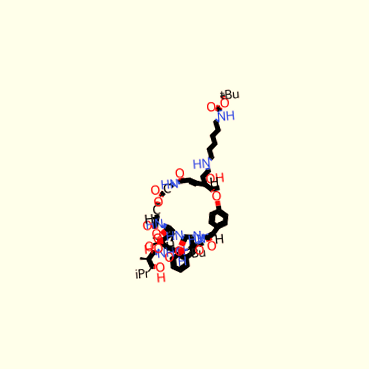 CC[C@H](C)[C@H]1NC(=O)[C@@H](NC(=O)[C@H](C)[C@H](O)C(C)C)[C@@H](C)OC(=O)[C@@H]2COC(=O)CNC(=O)/C=C/[C@](O)(CCNCCCCCCNC(=O)OC(C)(C)C)[C@@H](C)Oc3ccc(cc3)[C@H](NC1=O)C(=O)N(C)C(Cc1ccccc1)C(=O)N[C@H]([C@@H](C)O)C(=O)N2